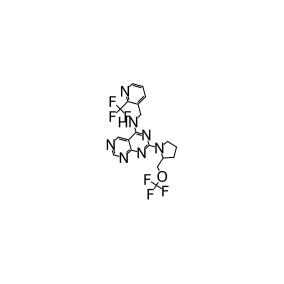 FC(F)(F)OCC1CCCN1c1nc(NCc2cccnc2C(F)(F)F)c2cncnc2n1